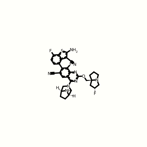 N#Cc1cc2c(N3C[C@H]4CC[C@@H](C3)N4)nc(OC[C@@]34CCCN3C[C@H](F)C4)nc2c(F)c1-c1ccc(F)c2sc(N)c(C#N)c12